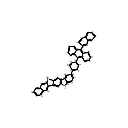 c1ccc2cc(-c3c4ccccc4c(-c4ccc(-c5ccc6oc7cc8c(cc7c6c5)oc5cc6ccccc6cc58)cc4)c4ccccc34)ccc2c1